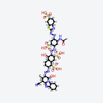 CC(=O)Nc1cc(N=Nc2c(S(=O)(=O)O)cc3c(S(=O)(=O)O)c(N=Nc4c(C)c(C#N)c5nc6ccccc6n5c4O)ccc3c2O)c(S(=O)(=O)O)cc1N=Nc1nc2ccc(S(=O)(=O)O)cc2s1